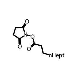 CCCCCCCCCC(=O)ON1C(=O)CCC1=O